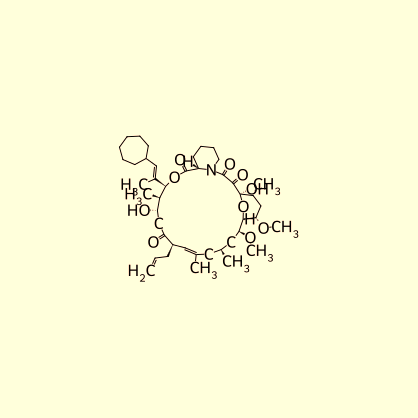 C=CC[C@@H]1/C=C(\C)C[C@H](C)C[C@H](OC)[C@H]2O[C@@](O)(C(=O)C(=O)N3CCCC[C@H]3C(=O)O[C@H](/C(C)=C/C3CCCCCC3)[C@H](C)[C@@H](O)CC1=O)[C@H](C)C[C@@H]2OC